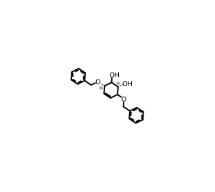 OC1[C@H](O)C(OCc2ccccc2)C=C[C@@H]1OCc1ccccc1